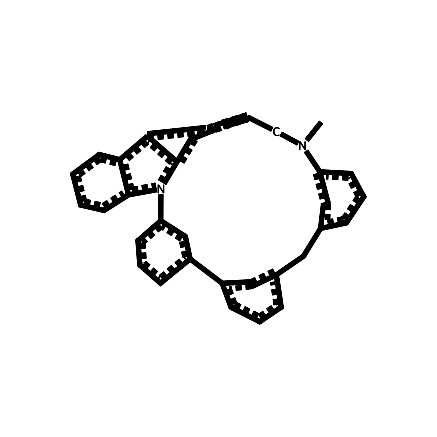 CN1Cc2ccc3c(c2)c2ccccc2n3-c2cccc(c2)-c2cccc(c2)Cc2cccc1c2